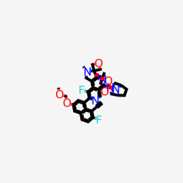 C#Cc1c(F)ccc2cc(OCOC)cc(-c3ncc4c(N5CC6CCC(C5)N6C(=O)OC(C)(C)C)nc5c(c4c3F)CN(C)C53COC3)c12